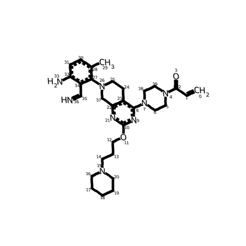 C=CC(=O)N1CCN(c2nc(OCCCN3CCCCC3)nc3c2CCN(c2c(C)ccc(N)c2C=N)C3)CC1